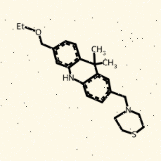 CCOCc1ccc2c(c1)Nc1ccc(CN3CCSCC3)cc1C2(C)C